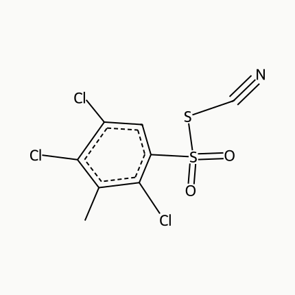 Cc1c(Cl)c(Cl)cc(S(=O)(=O)SC#N)c1Cl